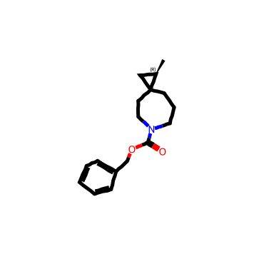 C[C@@H]1CC12CCCN(C(=O)OCc1ccccc1)CC2